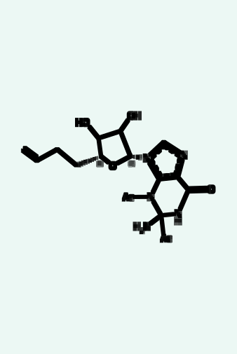 C=CCC[C@H]1O[C@@H](n2cnc3c2N(C(C)=O)C(N)(C(C)=O)NC3=O)C(O)C1O